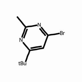 Cc1nc(Br)cc(C(C)(C)C)n1